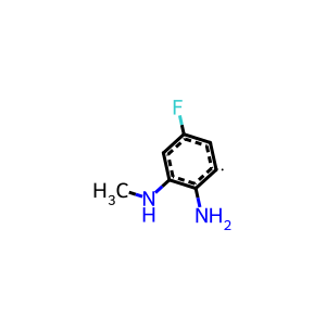 CNc1cc(F)c[c]c1N